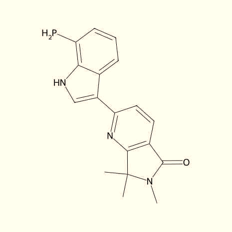 CN1C(=O)c2ccc(-c3c[nH]c4c(P)cccc34)nc2C1(C)C